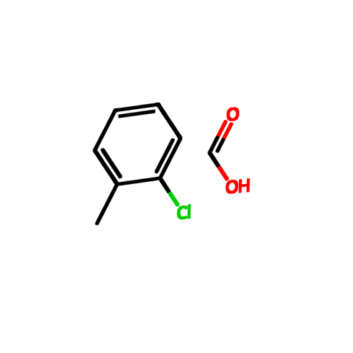 Cc1ccccc1Cl.O=CO